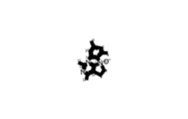 Cc1cc(C)c([N+]2([O-])CCc3c(C)nc(C)nc32)c(C)c1